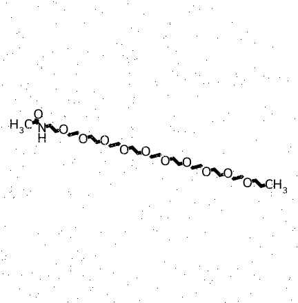 CCCOCCOCCOCCOCCOCCOCCOCCOCCOCCOCCNC(C)=O